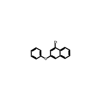 [CH2]Cc1cc(Oc2ccccc2)cc2ccccc12